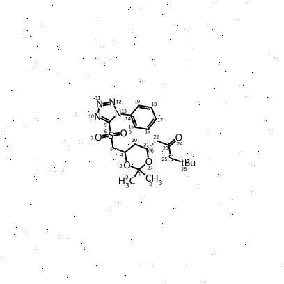 CC1(C)OC(CS(=O)(=O)c2nnnn2-c2ccccc2)C[C@H](CC(=O)SC(C)(C)C)O1